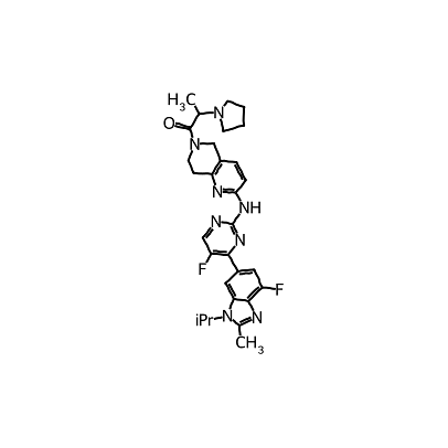 Cc1nc2c(F)cc(-c3nc(Nc4ccc5c(n4)CCN(C(=O)C(C)N4CCCC4)C5)ncc3F)cc2n1C(C)C